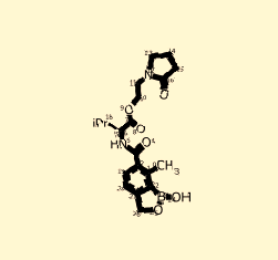 Cc1c(C(=O)N[C@H](C(=O)OCCN2CCCC2=O)C(C)C)ccc2c1B(O)OC2